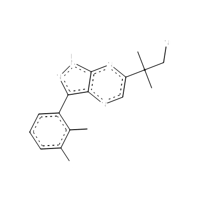 CC(C)(CN)c1cnc2c(-c3cccc(Cl)c3F)n[nH]c2n1